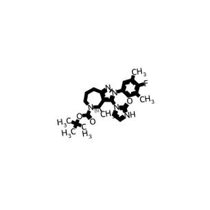 Cc1cc(-n2nc3c(c2-n2cc[nH]c2=O)[C@H](C)N(C(=O)OC(C)(C)C)CCC3)cc(C)c1F